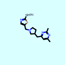 CC(=O)Nc1ncc(CN2CCC(Cc3cc(C)nc(C)n3)C2)s1